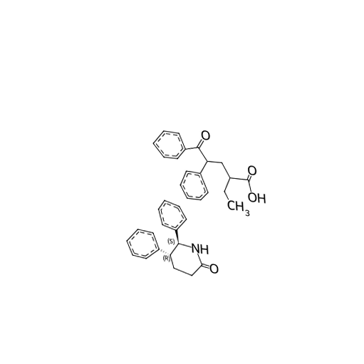 CCC(CC(C(=O)c1ccccc1)c1ccccc1)C(=O)O.O=C1CC[C@H](c2ccccc2)[C@@H](c2ccccc2)N1